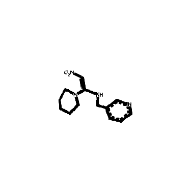 O=[N+]([O-])C=C(NCc1cccnc1)N1CCCCC1